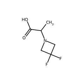 CC(C(=O)O)N1CC(F)(F)C1